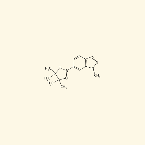 Cn1ncc2ccc(B3OC(C)(C)C(C)(C)O3)cc21